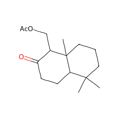 CC(=O)OCC1C(=O)CCC2C(C)(C)CCCC12C